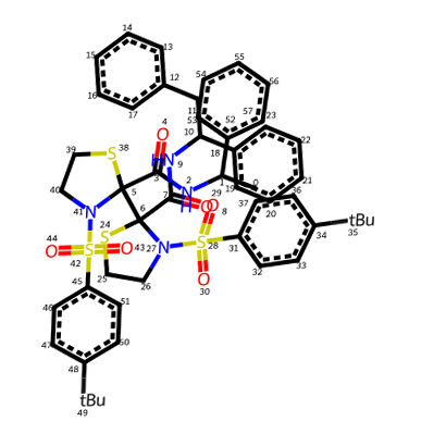 CC(NC(=O)C1(C2(C(=O)NC(Cc3ccccc3)c3ccccc3)SCCN2S(=O)(=O)c2ccc(C(C)(C)C)cc2)SCCN1S(=O)(=O)c1ccc(C(C)(C)C)cc1)c1ccccc1